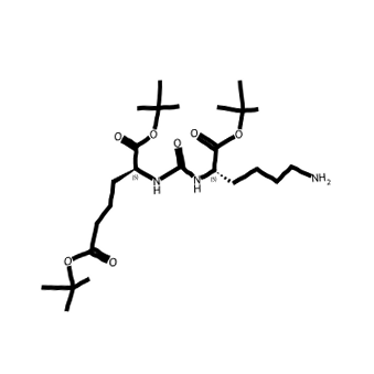 CC(C)(C)OC(=O)CCC[C@H](NC(=O)N[C@@H](CCCCN)C(=O)OC(C)(C)C)C(=O)OC(C)(C)C